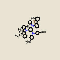 CC(C)(C)c1ccc(N(c2ccc(C(C)(C)C)cc2)c2cc3c4c(c2)-n2c5c(c6cccc(c62)B4c2ccc(C(C)(C)C)cc2N3c2cccc3c2sc2ccccc23)C(C)(C)c2ccccc2-5)cc1